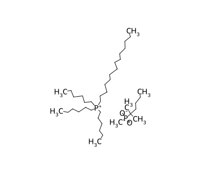 CCCCC(C)(C)P(C)(=O)[O-].CCCCCCCCCCCCCC[P+](CCCCCC)(CCCCCC)CCCCCC